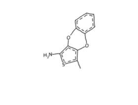 Cc1sc(N)c2c1Oc1ccccc1O2